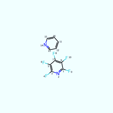 Fc1nc(F)c(F)c(F)c1F.c1ccncc1